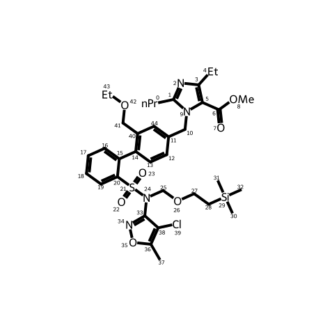 CCCc1nc(CC)c(C(=O)OC)n1Cc1ccc(-c2ccccc2S(=O)(=O)N(COCC[Si](C)(C)C)c2noc(C)c2Cl)c(COCC)c1